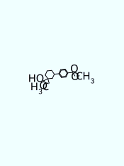 CCC1(C(=O)O)CCCC(c2ccc(C(=O)OC)cc2)C1